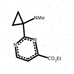 CCOC(=O)c1ccnc(C2(NC)CC2)n1